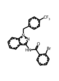 O=C(Nc1nn(Cc2ccc(C(F)(F)F)cc2)c2ccccc12)c1ccccc1Br